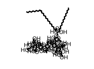 CCCCCCCC/C=C\CCCCCCCCCCCCCC(=O)N[C@@H](CO[C@@H]1OC(CO)[C@@H](O[C@@H]2OC(CO)[C@H](O[C@@H]3OC(CO)[C@H](O)[C@H](O[C@@H]4OC(CO)[C@H](O)[C@H](O[C@]5(C(=O)O)CC(O)[C@@H](NC(=O)CO)C([C@H](O)[C@H](O)CO)O5)C4O)C3NC(C)=O)[C@H](O[C@]3(C(=O)O)CC(O)[C@@H](NC(=O)CO)C([C@H](O)[C@H](O)CO)O3)C2O)[C@H](O)C1O)[C@H](O)/C=C/CCCCCCCCCCCCC